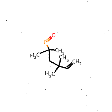 C=CC(C)(C)CC(C)(C)P=O